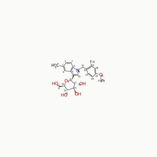 Cc1ccc2c(c1)c([C@@H]1O[C@H](CO)[C@@H](O)[C@H](O)[C@H]1O)cn2Cc1ccc(OC(C)C)cc1F